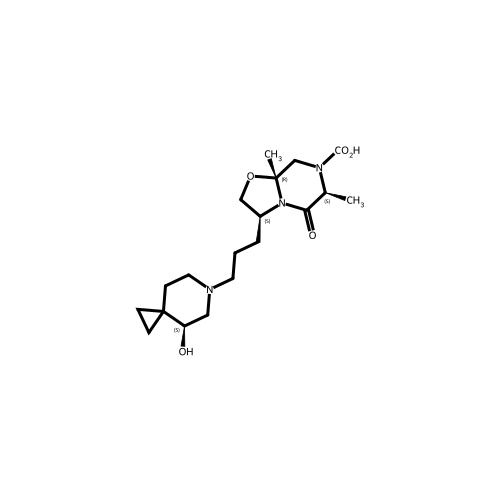 C[C@H]1C(=O)N2[C@@H](CCCN3CCC4(CC4)[C@H](O)C3)CO[C@]2(C)CN1C(=O)O